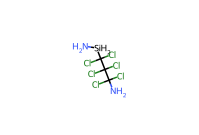 N[SiH2]C(Cl)(Cl)C(Cl)(Cl)C(N)(Cl)Cl